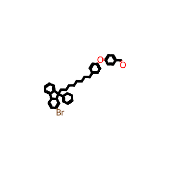 O=Cc1ccc(Oc2ccc(CCCCCCCCC3(C4=CC=CCC4)c4ccccc4C4C=CC(Br)=CC43)cc2)cc1